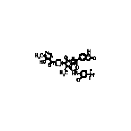 CCc1c(N2CCN(C(=O)c3ncnc(C)c3O)CC2)c(=O)n2nc(-c3ccc4c(c3)CC(=O)N4)nc2n1CC(=O)Nc1ccc(C(F)(F)F)cc1Cl